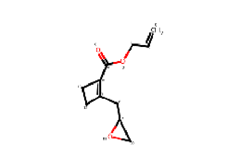 C=CCOC(=O)C1=C(CC2CO2)CC1